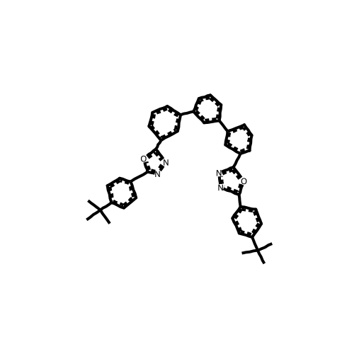 CC(C)(C)c1ccc(-c2nnc(-c3cccc(-c4cccc(-c5cccc(-c6nnc(-c7ccc(C(C)(C)C)cc7)o6)c5)c4)c3)o2)cc1